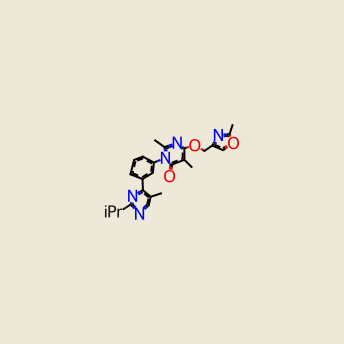 Cc1nc(COc2nc(C)n(-c3cccc(-c4nc(C(C)C)ncc4C)c3)c(=O)c2C)co1